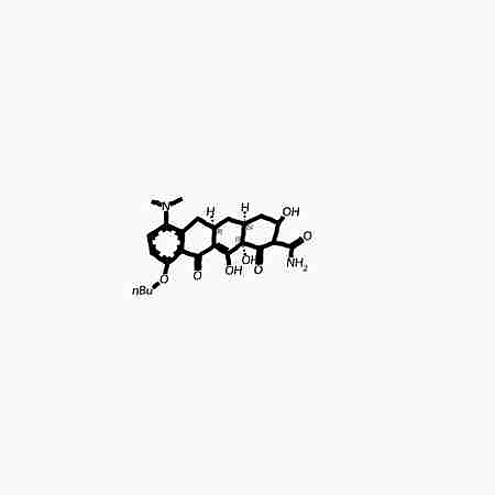 CCCCOc1ccc(N(C)C)c2c1C(=O)C1=C(O)[C@]3(O)C(=O)C(C(N)=O)C(O)C[C@@H]3C[C@@H]1C2